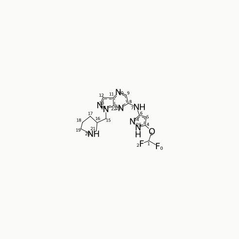 FC(F)Oc1cc(Nc2cnc3cnn(CC4CCCNC4)c3n2)n[nH]1